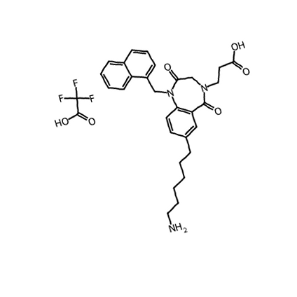 NCCCCCCc1ccc2c(c1)C(=O)N(CCC(=O)O)CC(=O)N2Cc1cccc2ccccc12.O=C(O)C(F)(F)F